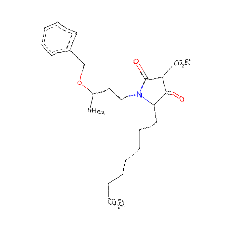 CCCCCCC(CCN1C(=O)C(C(=O)OCC)C(=O)C1CCCCCCC(=O)OCC)OCc1ccccc1